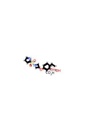 O=C(O)c1c(OC2CN(S(=O)(=O)C3=CCC=N3)C2)ccc2c1OB(O)CC2